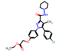 CCOC(=O)COc1ccc(-n2nc(C(=O)NN3CCCCC3)c(C)c2-c2ccc(Cl)cc2)cc1